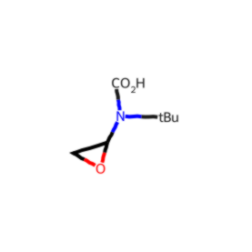 CC(C)(C)N(C(=O)O)C1CO1